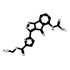 CCOC(=O)c1ccc(C2=C3C(=O)c4c(NC(N)=O)cccc4C3N=N2)s1